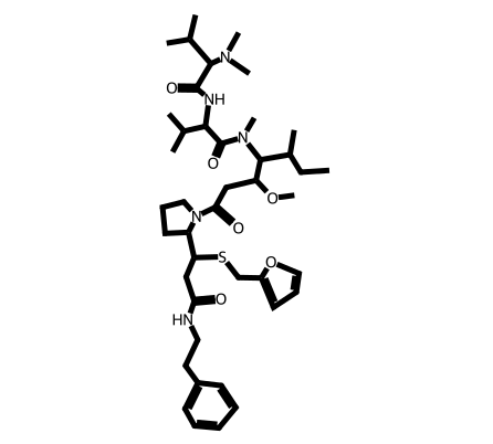 CCC(C)C(C(CC(=O)N1CCCC1C(CC(=O)NCCc1ccccc1)SCc1ccco1)OC)N(C)C(=O)C(NC(=O)C(C(C)C)N(C)C)C(C)C